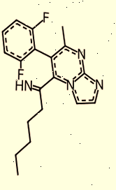 CCCCCC(=N)c1c(-c2c(F)cccc2F)c(C)nc2nccn12